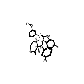 CCOc1cccc(CN2[C@H]3CCNC(=O)[C@H]3[C@H](c3cccc(Cl)c3)[C@]23C(=O)Nc2cc(Cl)ccc23)c1